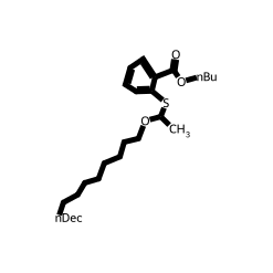 CCCCCCCCCCCCCCCCCCOC(C)Sc1ccccc1C(=O)OCCCC